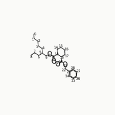 CCCCCC(CCC)COC(=O)C1CCCCC1C(=O)OCc1ccccc1